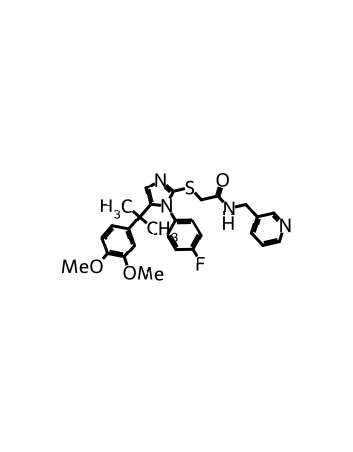 COc1ccc(C(C)(C)c2cnc(SCC(=O)NCc3cccnc3)n2-c2ccc(F)cc2)cc1OC